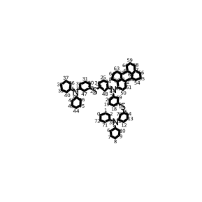 c1ccc(N(c2ccccc2)c2cccc(Sc3cccc(N(c4cccc(Sc5cccc(N(c6ccccc6)c6ccccc6)c5)c4)c4ccc5c6cccc7cccc(c8cccc4c85)c76)c3)c2)cc1